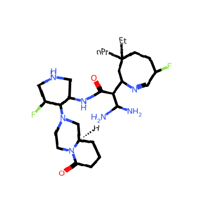 CCCC1(CC)CCC(F)/C=N\C(C(C(=O)NC2CNCC(F)C2N2CCN3C(=O)CCC[C@@H]3C2)C(N)N)C1